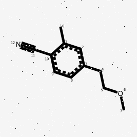 [CH2]c1cc([CH]COC)ccc1C#N